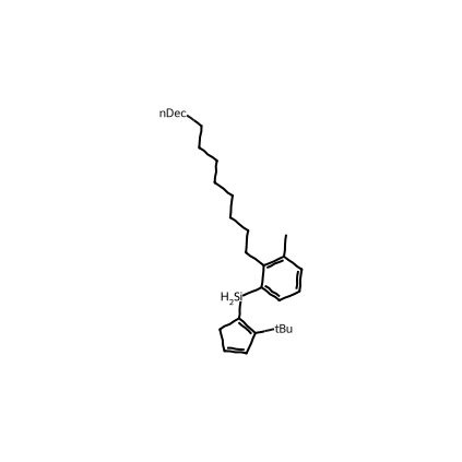 CCCCCCCCCCCCCCCCCCc1c(C)cccc1[SiH2]C1=C(C(C)(C)C)C=CC1